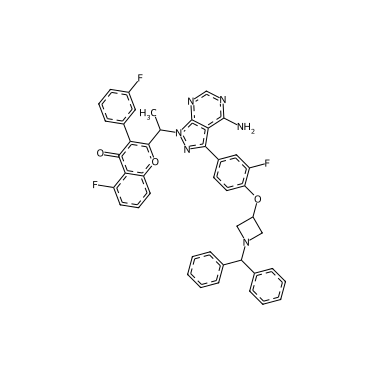 CC(c1oc2cccc(F)c2c(=O)c1-c1cccc(F)c1)n1nc(-c2ccc(OC3CN(C(c4ccccc4)c4ccccc4)C3)c(F)c2)c2c(N)ncnc21